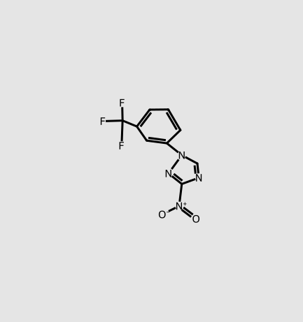 O=[N+]([O-])c1ncn(-c2cccc(C(F)(F)F)c2)n1